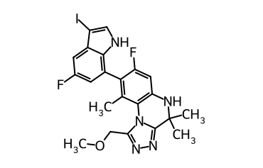 COCc1nnc2n1-c1c(cc(F)c(-c3cc(F)cc4c(I)c[nH]c34)c1C)NC2(C)C